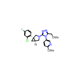 COCc1nnc(N2C[C@H]3C[C@@]3(c3ccc(F)cc3Cl)C2)n1-c1ccc(OC)nc1